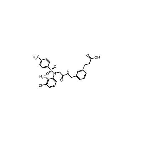 Cc1ccc(S(=O)(=O)N(CC(=O)NCc2cccc(CCC(=O)O)c2)c2cccc(Cl)c2C)cc1